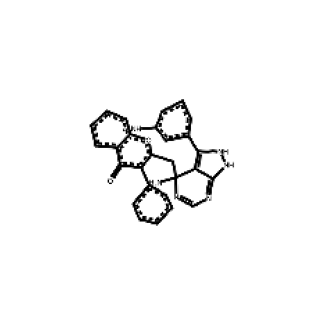 CC(=O)Nc1cccc(C2=C3C(=NC=NC3(N)Cc3oc4ccccc4c(=O)c3-c3ccccc3)NN2)c1